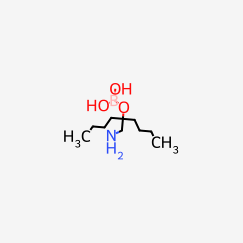 CCCCC(CN)(CCCC)OB(O)O